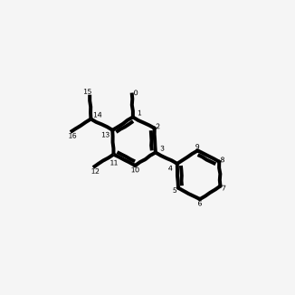 Cc1cc(C2=CCCC=C2)cc(C)c1C(C)C